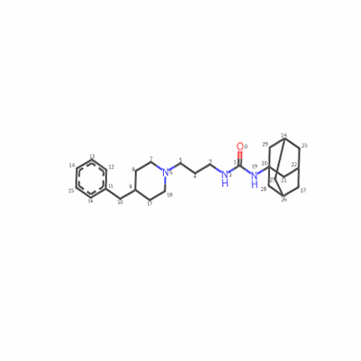 O=C(NCCCN1CCC(Cc2ccccc2)CC1)NC12CC3CC(CC(C3)C1)C2